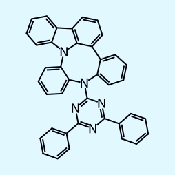 c1ccc(-c2nc(-c3ccccc3)nc(-n3c4ccccc4c4cccc5c6ccccc6n(c6ccccc63)c45)n2)cc1